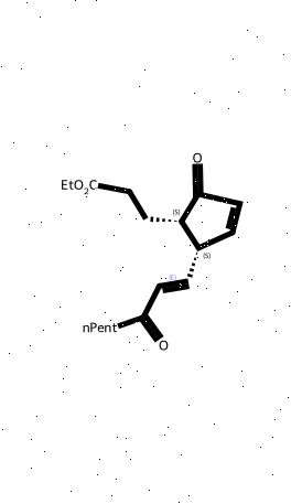 CCCCCC(=O)/C=C/[C@H]1C=CC(=O)[C@H]1CCC(=O)OCC